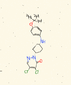 [2H]C([2H])([2H])Oc1ccc(N[C@H]2CC[C@@H](n3ncc(Cl)c(Cl)c3=O)CC2)cc1